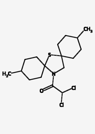 CC1CCC2(CC1)CN(C(=O)C(Cl)Cl)C1(CCC(C)CC1)S2